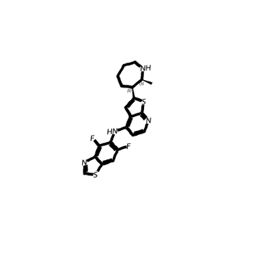 C[C@@H]1NCCCC[C@@H]1c1cc2c(Nc3c(F)cc4scnc4c3F)ccnc2s1